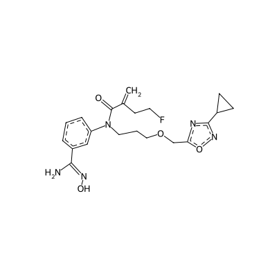 C=C(CCF)C(=O)N(CCCOCc1nc(C2CC2)no1)c1cccc(/C(N)=N/O)c1